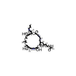 C=C/C=C\[C@H](C)[C@@H]1OC(=O)/C=C\C=C\[C@@H](CCCCNC(C)=O)[C@@H](O)C[C@H](O)/C=C\[C@H](C)[C@H](O)[C@@H](C)C[C@@H](C)CC[C@@H](O)[C@@H]1C